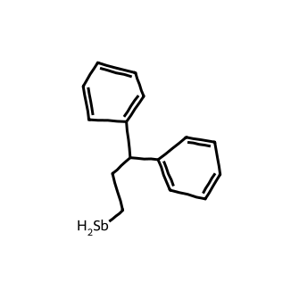 [SbH2][CH2]CC(c1ccccc1)c1ccccc1